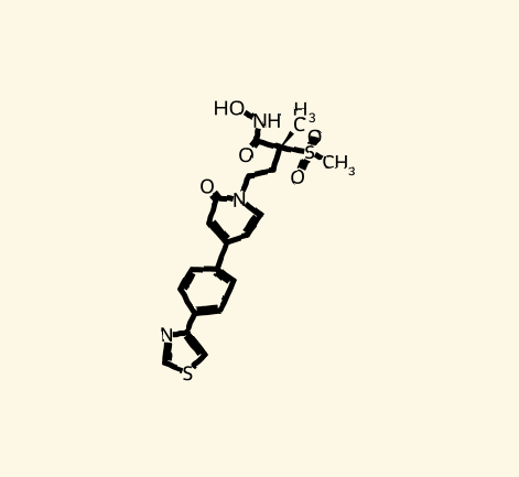 C[C@@](CCn1ccc(-c2ccc(-c3cscn3)cc2)cc1=O)(C(=O)NO)S(C)(=O)=O